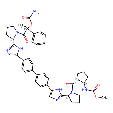 COC(=O)N[C@@H]1CCC[C@H]1C(=O)N1CCC[C@H]1c1ncc(-c2ccc(-c3ccc(-c4cnc([C@@H]5CCCN5C(=O)[C@](C)(OC(N)=O)c5ccccc5)[nH]4)cc3)cc2)[nH]1